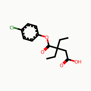 CCC(CC)(CC(=O)O)C(=O)Oc1ccc(Cl)cc1